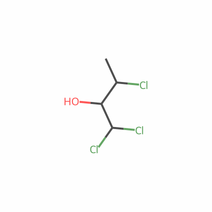 CC(Cl)C(O)C(Cl)Cl